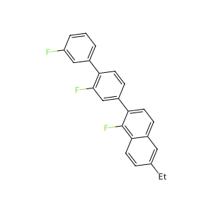 CCc1ccc2c(F)c(-c3ccc(-c4cccc(F)c4)c(F)c3)ccc2c1